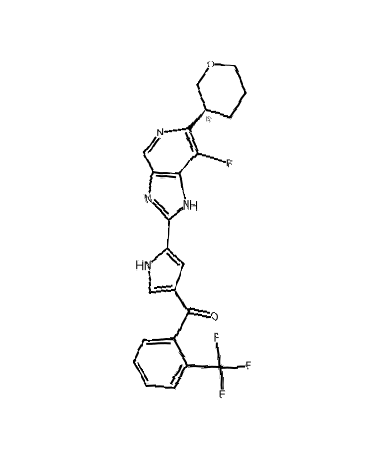 O=C(c1c[nH]c(-c2nc3cnc([C@@H]4CCCOC4)c(F)c3[nH]2)c1)c1ccccc1C(F)(F)F